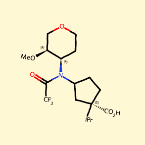 CO[C@H]1COCC[C@H]1N(C(=O)C(F)(F)F)C1CC[C@@](C(=O)O)(C(C)C)C1